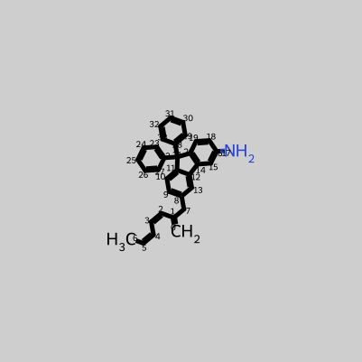 C=C(/C=C\C=C/C)Cc1ccc2c(c1)-c1cc(N)ccc1C2(c1ccccc1)c1ccccc1